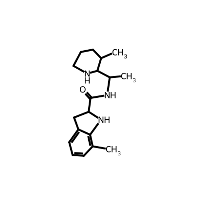 Cc1cccc2c1NC(C(=O)NC(C)C1NCCCC1C)C2